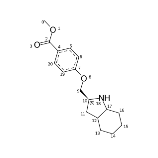 COC(=O)c1ccc(OC[C@@H]2CC3CCCCC3N2)cc1